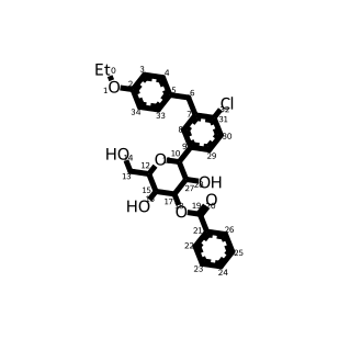 CCOc1ccc(Cc2cc(C3OC(CO)C(O)C(OC(=O)c4ccccc4)C3O)ccc2Cl)cc1